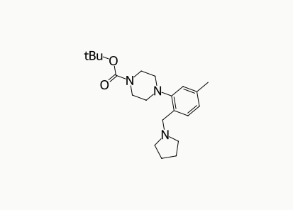 Cc1ccc(CN2CCCC2)c(N2CCN(C(=O)OC(C)(C)C)CC2)c1